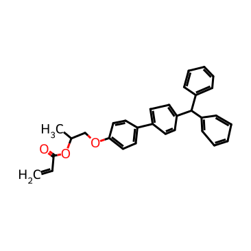 C=CC(=O)OC(C)COc1ccc(-c2ccc(C(c3ccccc3)c3ccccc3)cc2)cc1